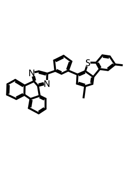 Cc1ccc2sc3c(-c4cccc(-c5cnc6c7ccccc7c7ccccc7c6n5)c4)cc(C)cc3c2c1